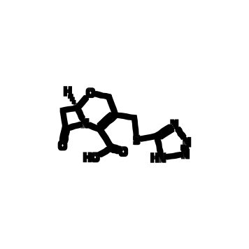 O=C(O)C1=C(CSc2nnn[nH]2)CO[C@@H]2CC(=O)N12